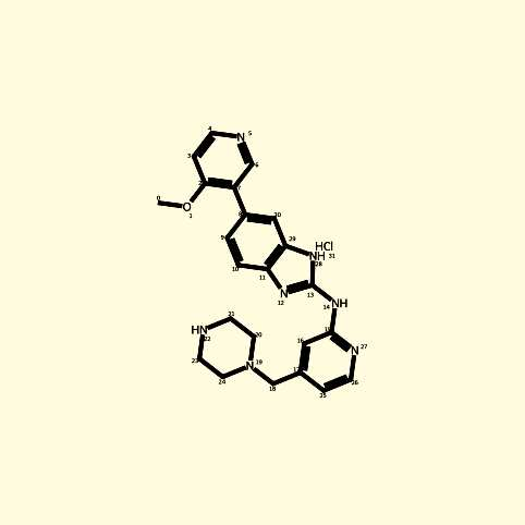 COc1ccncc1-c1ccc2nc(Nc3cc(CN4CCNCC4)ccn3)[nH]c2c1.Cl